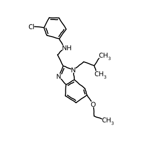 CCOc1ccc2nc(CNc3cccc(Cl)c3)n(CC(C)C)c2c1